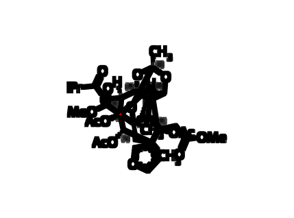 COC(=O)C[C@@H]1[C@](C)([C@@H](OC(C)=O)c2ccoc2)CC2O[C@]3(C)O[C@@]14[C@H]2[C@]1(C)[C@@H](CC(=O)OC)C2(C)C[C@]1(O3)[C@](OC(C)=O)([C@H]2OC(C)=O)[C@H]4OC(=O)C(C)C